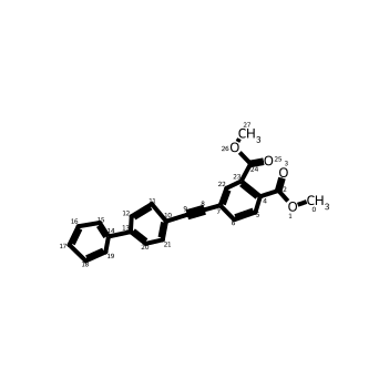 COC(=O)c1ccc(C#Cc2ccc(-c3ccccc3)cc2)cc1C(=O)OC